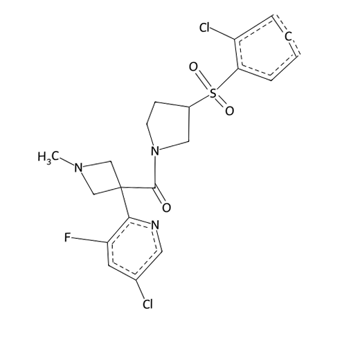 CN1CC(C(=O)N2CCC(S(=O)(=O)c3ccccc3Cl)C2)(c2ncc(Cl)cc2F)C1